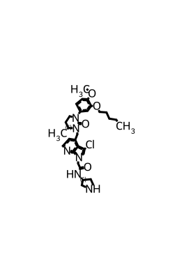 CCCCCOc1cc(N2CC[C@H](C)N(Cc3ccnc4c3c(Cl)cn4CC(=O)N[C@H]3CCNC3)C2=O)ccc1OC